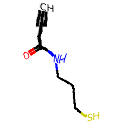 C#CC(=O)NCCCS